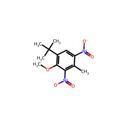 COc1c(C(C)(C)C)cc([N+](=O)[O-])c(C)c1[N+](=O)[O-]